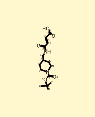 CC(C)(C)OC(=O)N1CCC(CNC(=O)/C=C/C(=O)O)CC1